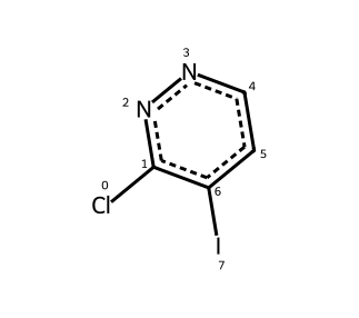 Clc1nnccc1I